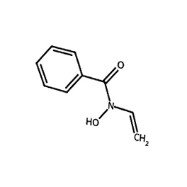 C=CN(O)C(=O)c1ccccc1